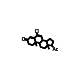 CC(=O)C1CCC2C3C=C(Cl)C4=CC(=O)CCC4(C)C3CCC12C